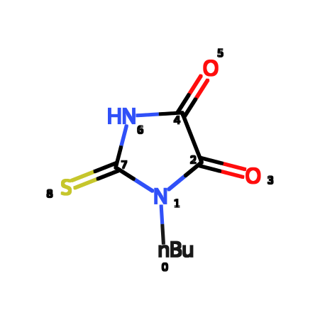 CCCCN1C(=O)C(=O)NC1=S